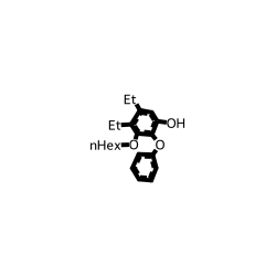 CCCCCCOc1c(CC)c(CC)cc(O)c1Oc1ccccc1